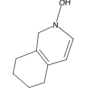 ON1C=CC2=C(CCCC2)C1